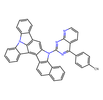 N#Cc1ccc(-c2nc(-n3c4cc5c6ccccc6n6c7ccccc7c(c4c4ccc7ccccc7c43)c56)nc3ncccc23)cc1